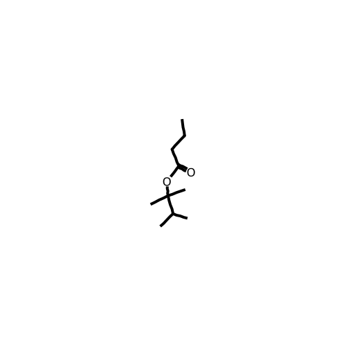 CCCC(=O)OC(C)(C)C(C)C